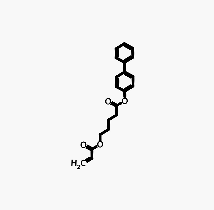 C=CC(=O)OCCCCC(=O)Oc1ccc(-c2ccccc2)cc1